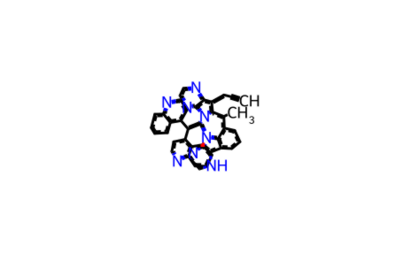 C#C/C=c1/c2nccnc2n2c(=C(c3ccnc4ccccc34)c3ccnc4ccccc34)n3c4c(c5cccc(c(C)c12)c53)NCC=N4